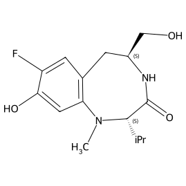 CC(C)[C@H]1C(=O)N[C@H](CO)Cc2cc(F)c(O)cc2N1C